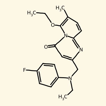 CCOc1c(C)ccc2nc(CN(CC)c3ccc(F)cc3)cc(=O)n12